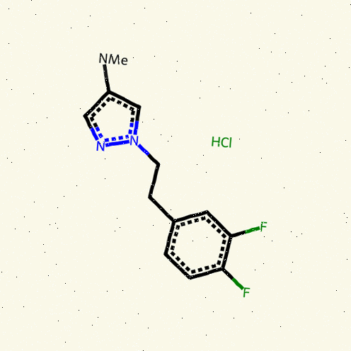 CNc1cnn(CCc2ccc(F)c(F)c2)c1.Cl